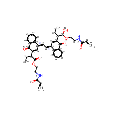 C=CC(=O)NCCOC(=O)C(CC(C)C)C1=C/C(=C\C=C2/C=C(C(CC(C)C)C(O)OCCNC(=O)C=C)C(=O)c3ccccc32)c2ccccc2C1=O